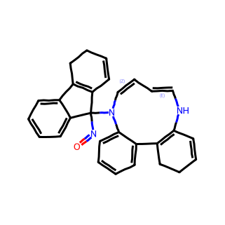 O=NC1(N2/C=C\C=C\NC3=C(CCC=C3)c3ccccc32)C2=C(CCC=C2)c2ccccc21